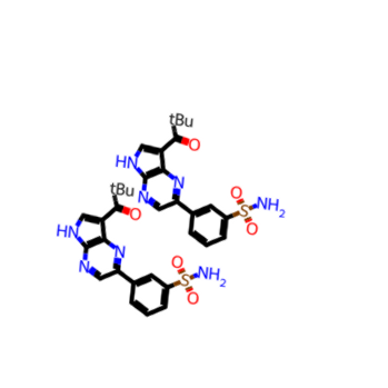 CC(C)(C)C(=O)c1c[nH]c2ncc(-c3cccc(S(N)(=O)=O)c3)nc12.CC(C)(C)C(=O)c1c[nH]c2ncc(-c3cccc(S(N)(=O)=O)c3)nc12